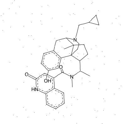 CC(C1CCC2(C)C3Cc4ccc(O)cc4C12CCN3CC1CC1)N(C)C(=O)c1cc(=O)[nH]c2ccccc12